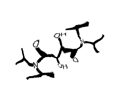 CC(C)N(C(=O)C(O)C(O)C(=O)N(C(C)C)C(C)C)C(C)C